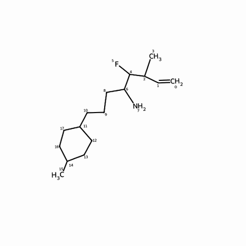 C=CC(C)C(F)C(N)CCCC1CCC(C)CC1